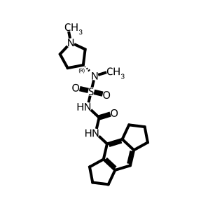 CN1CC[C@@H](N(C)S(=O)(=O)NC(=O)Nc2c3c(cc4c2CCC4)CCC3)C1